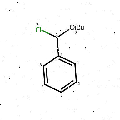 CC(C)COC(Cl)c1ccccc1